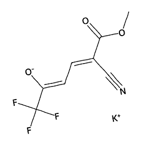 COC(=O)C(C#N)=CC=C([O-])C(F)(F)F.[K+]